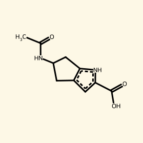 CC(=O)NC1Cc2cc(C(=O)O)[nH]c2C1